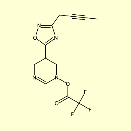 CC#CCc1noc(C2CN=CN(OC(=O)C(F)(F)F)C2)n1